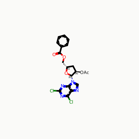 CC(=O)O[C@@H]1C[C@@H](COC(=O)c2ccccc2)O[C@H]1n1cnc2c(Cl)nc(Cl)nc21